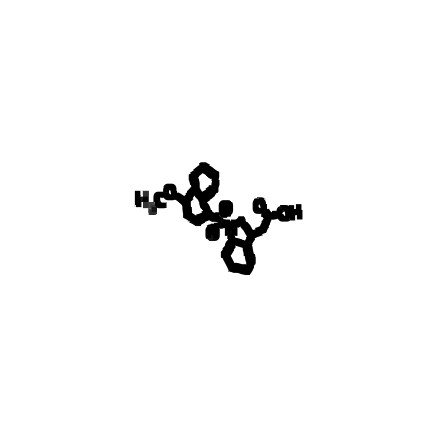 COc1ccc(S(=O)(=O)N2CC(CC(=O)O)c3ccccc32)c2ccccc12